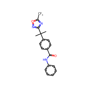 CC(C)(c1ccc(C(=O)Nc2ccccc2)cc1)c1noc(C(F)(F)F)n1